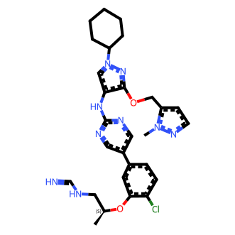 C[C@@H](CNC=N)Oc1cc(-c2cnc(Nc3cn(C4CCCCC4)nc3OCc3ccnn3C)nc2)ccc1Cl